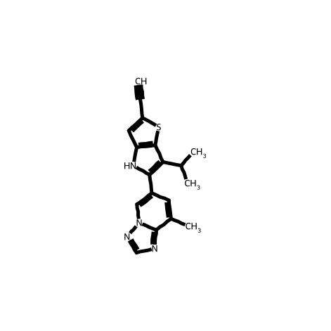 C#Cc1cc2[nH]c(-c3cc(C)c4ncnn4c3)c(C(C)C)c2s1